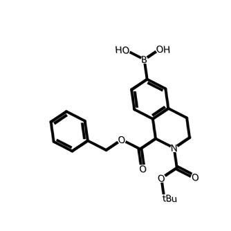 CC(C)(C)OC(=O)N1CCc2cc(B(O)O)ccc2C1C(=O)OCc1ccccc1